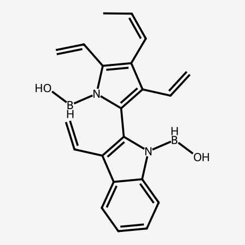 C=Cc1c(/C=C\C)c(C=C)n(BO)c1-c1c(C=C)c2ccccc2n1BO